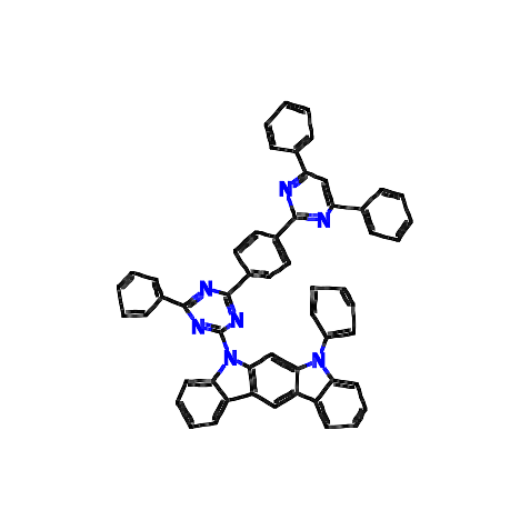 c1ccc(-c2cc(-c3ccccc3)nc(-c3ccc(-c4nc(-c5ccccc5)nc(-n5c6ccccc6c6cc7c8ccccc8n(-c8ccccc8)c7cc65)n4)cc3)n2)cc1